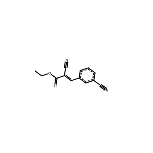 CCOC(=O)/C(C#N)=C/c1cccc(C#N)c1